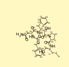 CC[C@H](C)[C@@H](CO)NC(=O)[C@@H]1CCCN1C(=O)C(O)C(Cc1ccccc1)NC(=O)[C@H](CC(N)=O)NC(=O)OCc1ccccc1